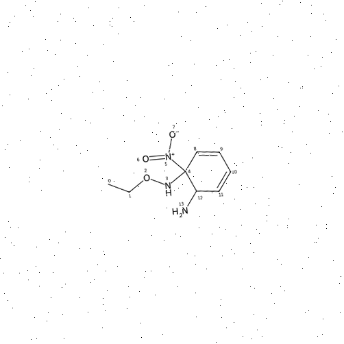 CCONC1([N+](=O)[O-])C=CC=CC1N